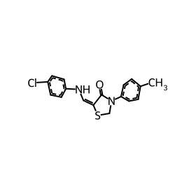 Cc1ccc(N2CS/C(=C/Nc3ccc(Cl)cc3)C2=O)cc1